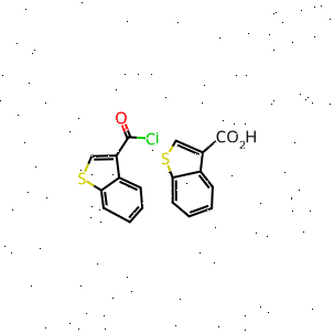 O=C(Cl)c1csc2ccccc12.O=C(O)c1csc2ccccc12